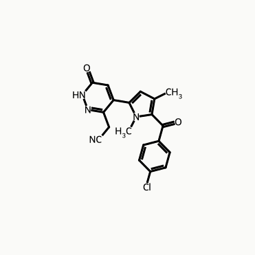 Cc1cc(-c2cc(=O)[nH]nc2CC#N)n(C)c1C(=O)c1ccc(Cl)cc1